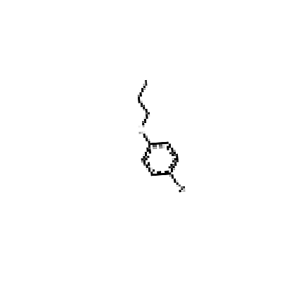 Brc1ccc(OCCI)cc1